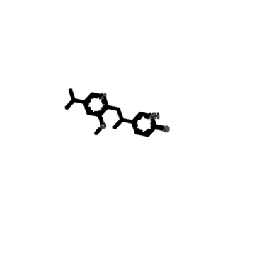 COc1cc(C(C)C)cnc1CC(C)c1ccc(=O)[nH]c1